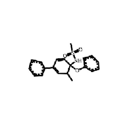 CC1C=C(c2ccccc2)C=CC1(NS(C)(=O)=O)Oc1ccccc1